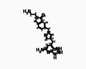 NCCN1Cc2ccc(Cn3cc(Cc4cc(N)nc5c4NNN5)cn3)cc2C1=O